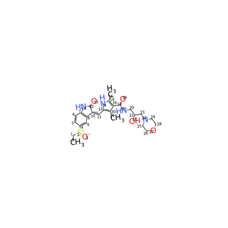 CC[S+]([O-])c1ccc2c(c1)/C(=C/c1[nH]c(C)c(C(=O)NCC(O)CN3CCOCC3)c1C)C(=O)N2